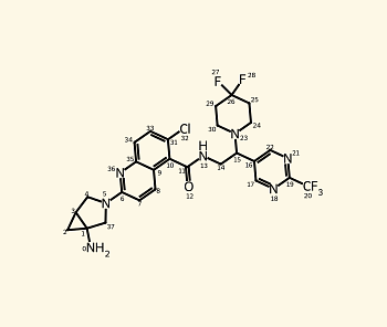 NC12CC1CN(c1ccc3c(C(=O)NCC(c4cnc(C(F)(F)F)nc4)N4CCC(F)(F)CC4)c(Cl)ccc3n1)C2